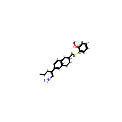 CCCC(CN)c1ccc2c(c1)CCC(CSc1ccccc1OC)C2